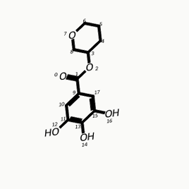 O=C(OC1CCCOC1)c1cc(O)c(O)c(O)c1